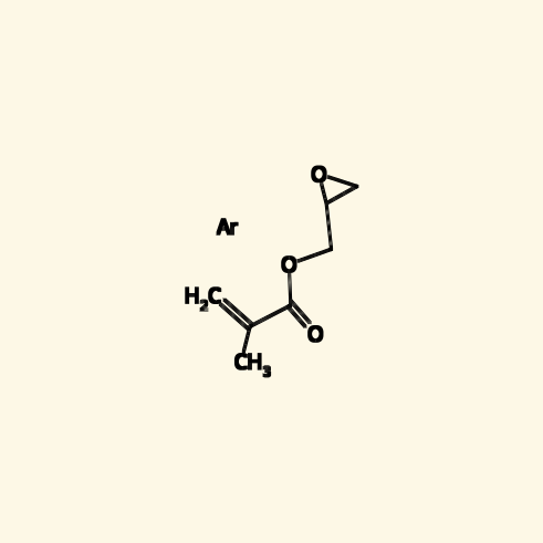 C=C(C)C(=O)OCC1CO1.[Ar]